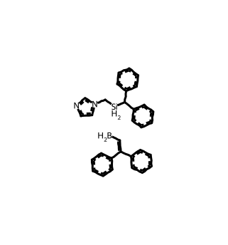 BC=C(c1ccccc1)c1ccccc1.c1ccc(C([SiH2]Cn2ccnc2)c2ccccc2)cc1